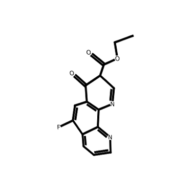 CCOC(=O)C1C=Nc2c(cc(F)c3cccnc23)C1=O